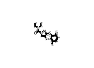 CCN(CC)C(=O)n1cc(F)c(Sc2cc(C)ccc2F)n1